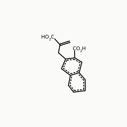 C=C(Cc1cc2ccccc2cc1C(=O)O)C(=O)O